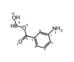 Nc1cccc(C(=O)OBO)c1